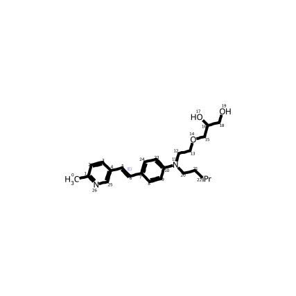 Cc1ccc(/C=C/c2ccc(N(CCOCC(O)CO)CCC(C)C)cc2)cn1